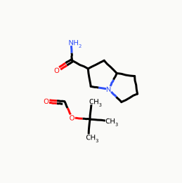 CC(C)(C)OC=O.NC(=O)C1CC2CCCN2C1